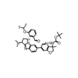 CN(C)C1C[C@H](c2c(C=O)cccc2OC(F)F)n2c1nc1ccc(-c3cnc4c(c3)OCC4(C)NC(=O)OC(C)(C)C)cc12